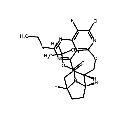 CCSc1nc2c3c(nc(Cl)c(F)c3n1)OC[C@@H]1[C@@H]3CC[C@H](CN21)N3C(=O)OC(C)(C)C